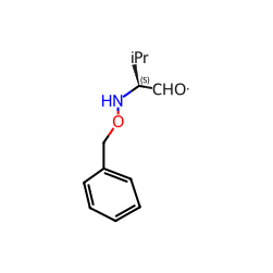 CC(C)[C@@H]([C]=O)NOCc1ccccc1